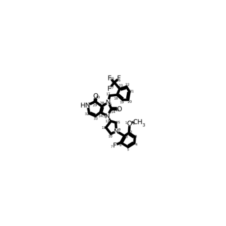 COc1cccc(F)c1N1CC[C@@H](n2c(=O)n(Cc3ccccc3C(F)(F)F)c3c(=O)[nH]ccc32)C1